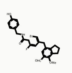 CC/C=C(\C=C(\F)CC(=O)NCc1ccc(O)cc1)Cc1cc(C=O)c(OC)c2c1CCC2